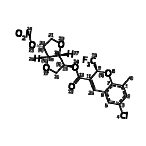 Cc1cc(Cl)cc2c1O[C@H](C(F)(F)F)C(C(=O)O[C@H]1CO[C@H]3[C@@H]1OC[C@H]3O[N+](=O)[O-])=C2